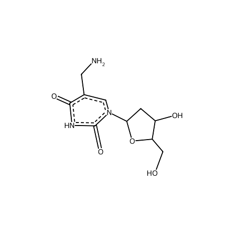 NCc1cn(C2CC(O)C(CO)O2)c(=O)[nH]c1=O